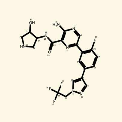 Nc1ncc(-c2cc(-c3cnn(CC(F)(F)F)c3)ccc2F)nc1C(=O)NC1CNCC1O